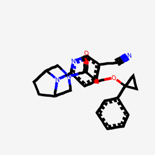 N#Cc1ccc(N2C3CCC2CN(C(=O)COC2(c4ccccc4)CC2)C3)nc1